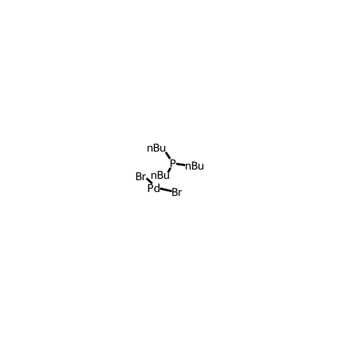 CCCCP(CCCC)CCCC.[Br][Pd][Br]